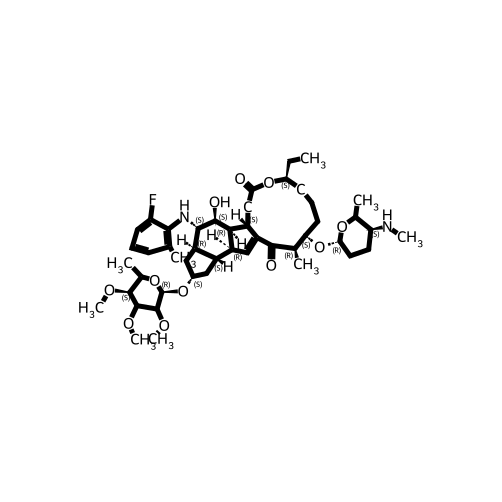 CC[C@H]1CCC[C@H](O[C@H]2CC[C@H](NC)C(C)O2)[C@@H](C)C(=O)C2=C[C@H]3[C@@H]4C[C@H](O[C@@H]5OC(C)[C@H](OC)C(OC)C5OC)C[C@H]4[C@H](Nc4c(C)cccc4F)[C@@H](O)[C@H]3[C@@H]2CC(=O)O1